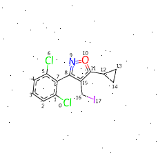 Clc1cccc(Cl)c1-c1noc(C2CC2)c1CI